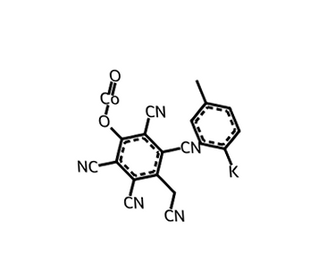 Cc1cc[c]([K])cc1.N#CCc1c(C#N)c(C#N)c([O][Co]=[O])c(C#N)c1C#N